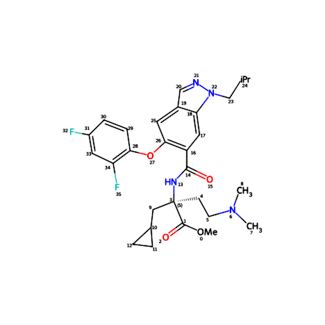 COC(=O)[C@@](CCN(C)C)(CC1CC1)NC(=O)c1cc2c(cnn2CC(C)C)cc1Oc1ccc(F)cc1F